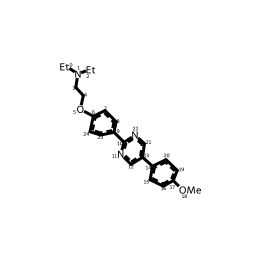 CCN(CC)CCOc1ccc(-c2ncc(-c3ccc(OC)cc3)cn2)cc1